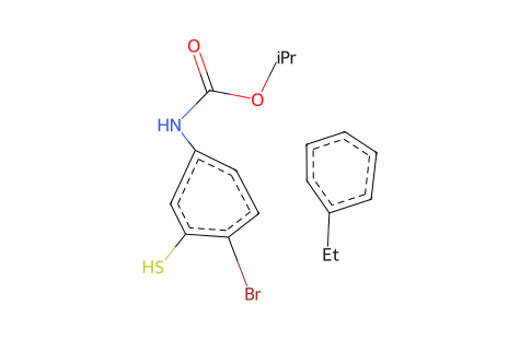 CC(C)OC(=O)Nc1ccc(Br)c(S)c1.CCc1ccccc1